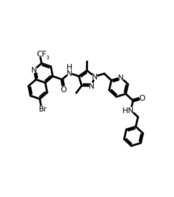 Cc1nn(Cc2ccc(C(=O)NCc3ccccc3)cn2)c(C)c1NC(=O)c1cc(C(F)(F)F)nc2ccc(Br)cc12